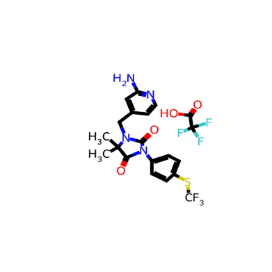 CC1(C)C(=O)N(c2ccc(SC(F)(F)F)cc2)C(=O)N1Cc1ccnc(N)c1.O=C(O)C(F)(F)F